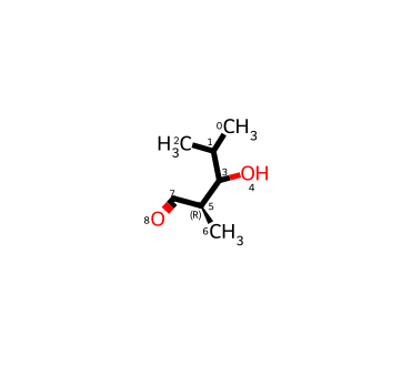 CC(C)C(O)[C@@H](C)C=O